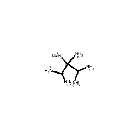 CNC(N)(C(N)N)C(N)N